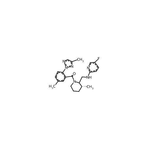 Cc1ccc(-n2ncc(C)n2)c(C(=O)N2CCC[C@@H](C)C2CNc2ccc(F)cn2)c1